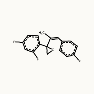 CC(=Cc1ccc(F)cc1)C1(c2ccc(F)cc2F)CO1